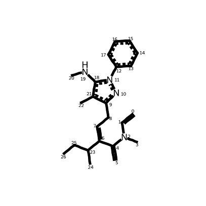 C=CN(C)C(=C)/C(=C\Cc1nn(-c2ccccc2)c(NC)c1C)C(C)CC